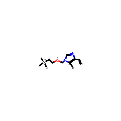 C=Cc1ncn(COCC[Si](C)(C)C)c1C